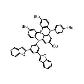 CC(C)(C)c1ccc(N2c3ccc(C(C)(C)C)cc3B3c4cc(C(C)(C)C)ccc4N(c4cc(-c5cc6ccccc6o5)cc(-c5cc6ccccc6o5)c4)c4cc(C(C)(C)C)cc2c43)cc1